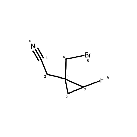 N#CCC1(CBr)CC1F